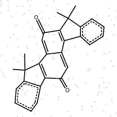 CC1(C)C2=C(C3=CC(=O)C4=C(C3=CC2=O)C(C)(C)c2ccccc24)c2ccccc21